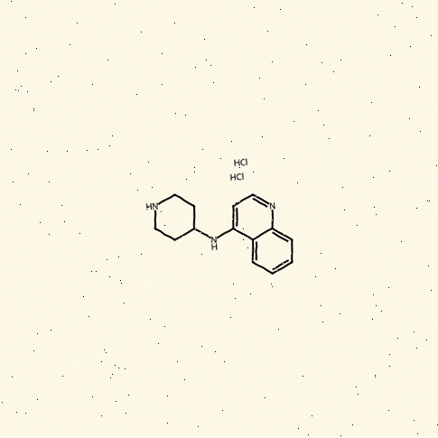 Cl.Cl.c1ccc2c(NC3CCNCC3)ccnc2c1